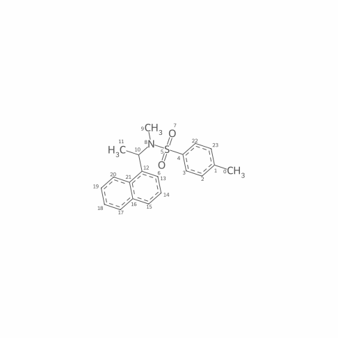 Cc1ccc(S(=O)(=O)N(C)C(C)c2cccc3ccccc23)cc1